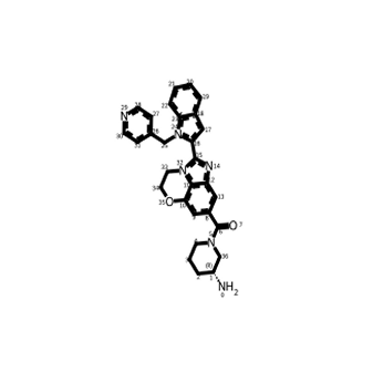 N[C@@H]1CCCN(C(=O)c2cc3c4c(c2)nc(-c2cc5ccccc5n2Cc2ccncc2)n4CCO3)C1